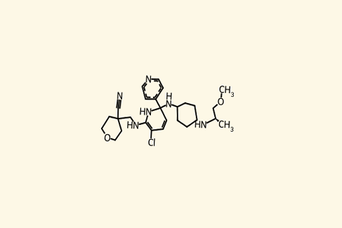 COC[C@@H](C)NC1CCC(NC2(c3ccncc3)C=CC(Cl)=C(NCC3(C#N)CCOCC3)N2)CC1